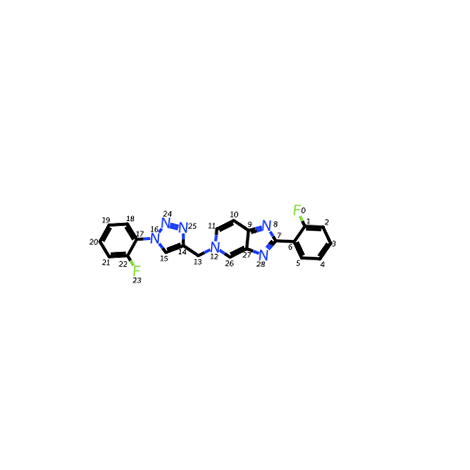 Fc1ccccc1-c1nc2ccn(Cc3cn(-c4ccccc4F)nn3)cc-2n1